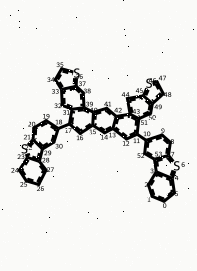 c1ccc2c(c1)sc1ccc(-c3cc4cc5cc(-c6ccc7sc8ccccc8c7c6)c6cc7ccsc7cc6c5cc4c4cc5sccc5cc34)cc12